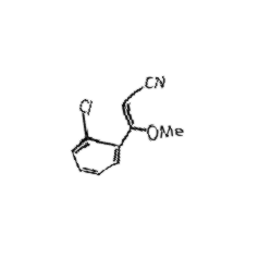 CO/C(=C\C#N)c1ccccc1Cl